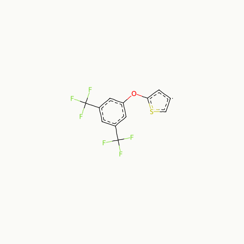 FC(F)(F)c1cc(Oc2c[c]cs2)cc(C(F)(F)F)c1